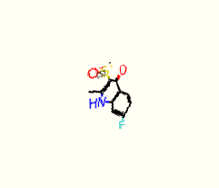 Cc1[nH]c2cc(F)ccc2c(=O)c1[S@@+](C)[O-]